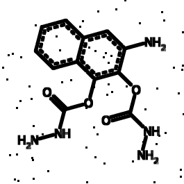 NNC(=O)Oc1c(N)cc2ccccc2c1OC(=O)NN